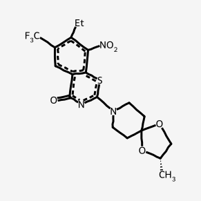 CCc1c(C(F)(F)F)cc2c(=O)nc(N3CCC4(CC3)OC[C@H](C)O4)sc2c1[N+](=O)[O-]